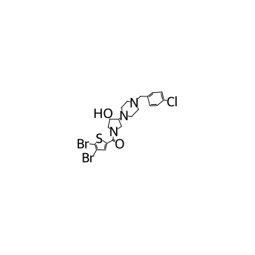 O=C(c1cc(Br)c(Br)s1)N1CC(O)C(N2CCN(Cc3ccc(Cl)cc3)CC2)C1